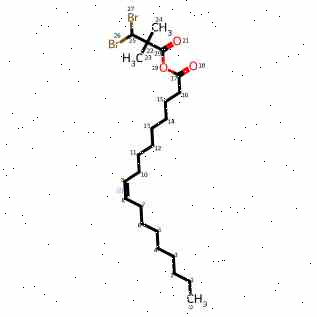 CCCCCCCC/C=C\CCCCCCCC(=O)OC(=O)C(C)(C)C(Br)Br